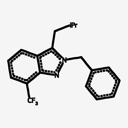 CC(C)Cc1c2cccc(C(F)(F)F)c2nn1Cc1ccccc1